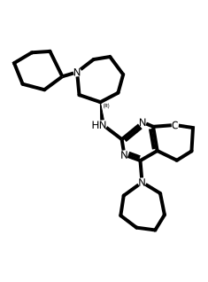 C1CCC(N2CCCC[C@@H](Nc3nc4c(c(N5CCCCCC5)n3)CCCC4)C2)CC1